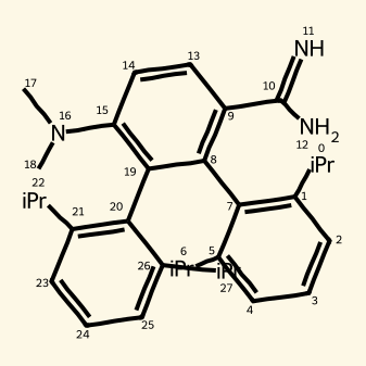 CC(C)c1cccc(C(C)C)c1-c1c(C(=N)N)ccc(N(C)C)c1-c1c(C(C)C)cccc1C(C)C